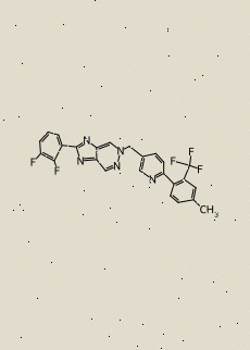 Cc1ccc(-c2ccc(Cn3cc4nc(-c5cccc(F)c5F)nc-4cn3)cn2)c(C(F)(F)F)c1